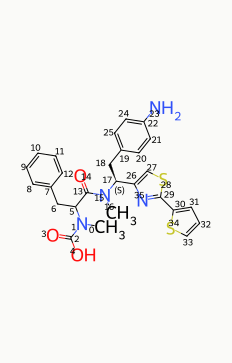 CN(C(=O)O)C(Cc1ccccc1)C(=O)N(C)[C@@H](Cc1ccc(N)cc1)c1csc(-c2cccs2)n1